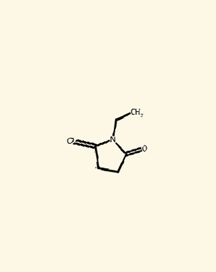 CCN1C(=O)[CH]CC1=O